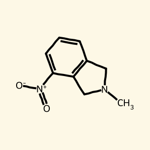 CN1Cc2cccc([N+](=O)[O-])c2C1